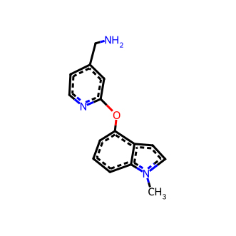 Cn1ccc2c(Oc3cc(CN)ccn3)cccc21